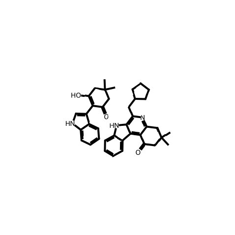 CC1(C)CC(=O)C(c2c[nH]c3ccccc23)=C(O)C1.CC1(C)CC(=O)c2c(nc(CC3CCCC3)c3[nH]c4ccccc4c23)C1